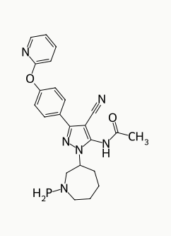 CC(=O)Nc1c(C#N)c(-c2ccc(Oc3ccccn3)cc2)nn1C1CCCCN(P)C1